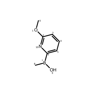 COc1cccc(B(C)O)n1